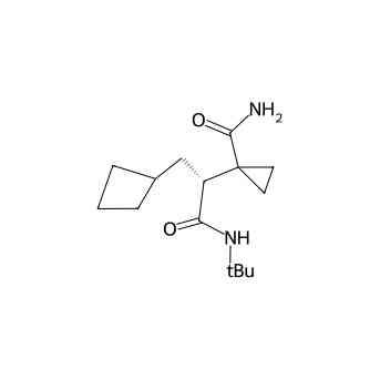 CC(C)(C)NC(=O)[C@H](CC1CCC1)C1(C(N)=O)CC1